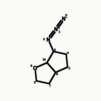 [N-]=[N+]=NC1CCC2CCOC21